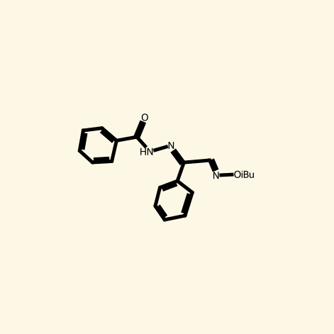 CC(C)CON=CC(=NNC(=O)c1ccccc1)c1ccccc1